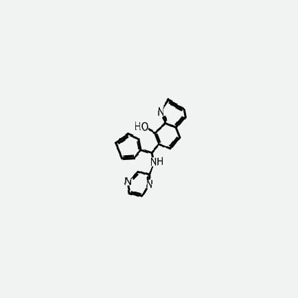 Oc1c(C(Nc2cnccn2)c2ccccc2)ccc2cccnc12